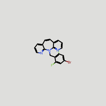 Fc1cc(Br)cc(F)c1CN1c2ncccc2C=Cc2cccnc21